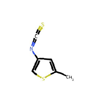 Cc1cc(N=C=S)cs1